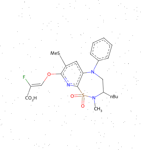 CCCCC1CN(c2ccccc2)c2cc(SC)c(O/C=C(\F)C(=O)O)nc2S(=O)(=O)N1C